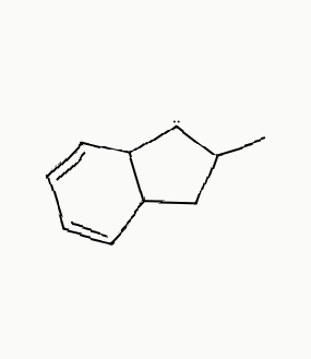 CC1[C]C2C=CC=CC2C1